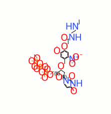 CCNCCNC(=O)COc1cc([N+](=O)[O-])c(COC2C[C@H](n3ccc(=O)[nH]c3=O)O[C@@H]2COP(=O)(OC)OP(=O)(OC)OP(=O)(OC)OC)cc1OC